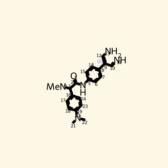 CNC(C(=O)Nc1ccc(/C(C=N)=C/N)cc1)c1ccc(N(C)C)cc1